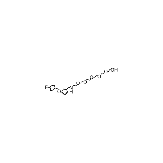 OCCOCCOCCOCCOCCOCCNCc1cccc(OCc2ccc(F)cc2)c1